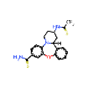 NC(=S)c1ccc2c(c1)Oc1ccccc1[C@H]1C[C@H](NC(=S)C(F)(F)F)CCN21